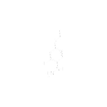 CCOc1ccc(NN)c(F)c1